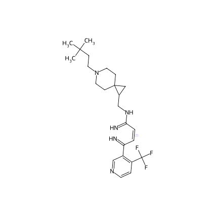 CC(C)(C)CCN1CCC2(CC1)CC2CNC(=N)/C=C\C(=N)c1cnccc1C(F)(F)F